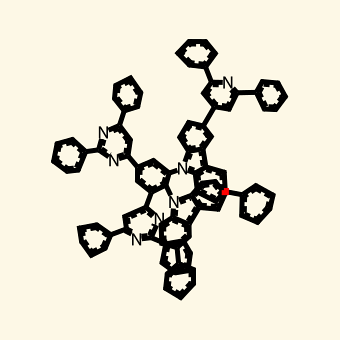 c1ccc(-c2ccc3c(c2)c2cc(-c4cc(-c5ccccc5)nc(-c5ccccc5)c4)ccc2n3-c2cc(-c3cc(-c4ccccc4)nc(-c4ccccc4)n3)cc(-c3cc(-c4ccccc4)nc(-c4ccccc4)n3)c2-n2c3ccccc3c3cc(-c4ccccc4)ccc32)cc1